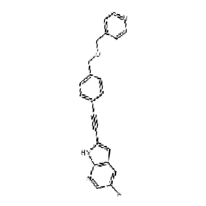 Fc1cnc2[nH]c(C#Cc3ccc(COCc4ccncc4)cc3)cc2c1